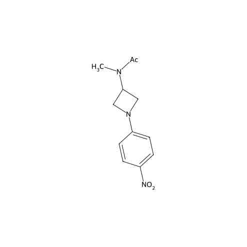 CC(=O)N(C)C1CN(c2ccc([N+](=O)[O-])cc2)C1